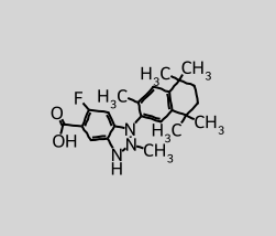 Cc1cc2c(cc1N1c3cc(F)c(C(=O)O)cc3NN1C)C(C)(C)CCC2(C)C